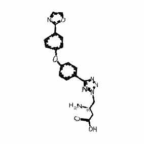 N[C@H](CC(=O)O)Cn1nnc(-c2ccc(Oc3ccc(-c4ncco4)cc3)cc2)n1